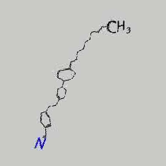 CCCCCCCCCCC1CCC(C2CC=C(CCc3ccc(C#N)cc3)CC2)CC1